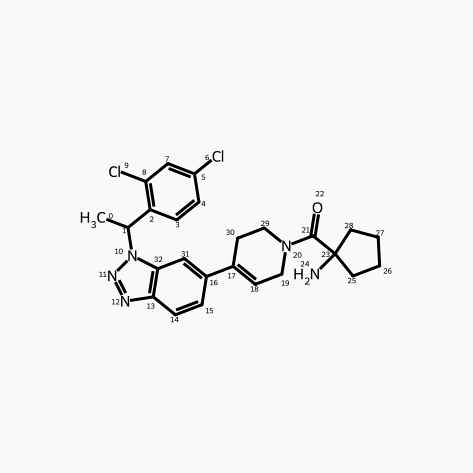 CC(c1ccc(Cl)cc1Cl)n1nnc2ccc(C3=CCN(C(=O)C4(N)CCCC4)CC3)cc21